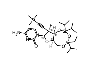 CC[Si]1(C(C)C)OC[C@H]2O[C@@H](n3ccc(N)nc3=O)[C@@](F)(C#C[Si](C)(C)C)[C@@H]2O[Si](C(C)C)(C(C)C)O1